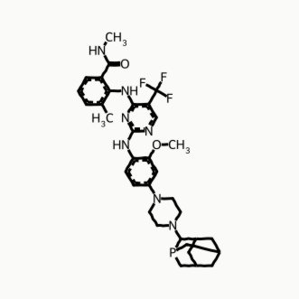 CNC(=O)c1cccc(C)c1Nc1nc(Nc2ccc(N3CCN(C4C5CC6CC(C5)CP4C6)CC3)cc2OC)ncc1C(F)(F)F